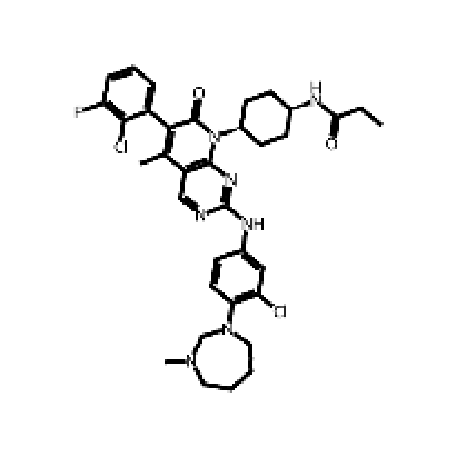 CCC(=O)N[C@H]1CC[C@@H](n2c(=O)c(-c3cccc(F)c3Cl)c(C)c3cnc(Nc4ccc(N5CCCCN(C)C5)c(Cl)c4)nc32)CC1